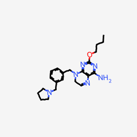 CCCCOc1nc(N)c2c(n1)N(Cc1cccc(CN3CCCC3)c1)CC=N2